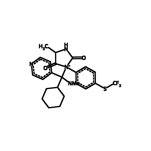 CNC(c1ccncc1)(C1CCCCC1)[N+]1(c2ccc(SC(F)(F)F)cc2)C(=O)NC(C)C1=O